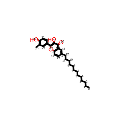 CCCCCCCCCCCCCc1ccc2oc(-c3ccc(O)c(C)c3)c(O)c(=O)c2c1